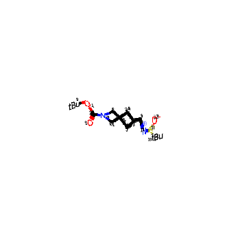 CC(C)(C)OC(=O)N1CC2(CC(/C=N/[S+]([O-])C(C)(C)C)C2)C1